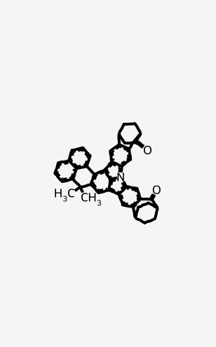 CC1(C)c2cc3c4cc5c(cc4n4c6cc7c(cc6c(c2-c2cccc6cccc1c26)c34)C1CCC(CC1)C7=O)C(=O)C1CCC5CC1